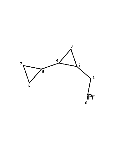 CC(C)C[C]1CC1C1CC1